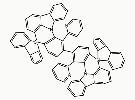 c1ccc(-c2c(-c3ccc4c(c3-c3ccccn3)-n3c5ccccc5c5cccc(c53)[Si]43c4ccccc4-c4ccccc43)ccc3c2-n2c4ccccc4c4cccc(c42)[Si]32c3ccccc3-c3ccccc32)nc1